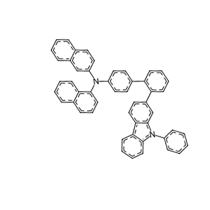 c1ccc(-n2c3ccccc3c3ccc(-c4ccccc4-c4ccc(N(c5ccc6ccccc6c5)c5cccc6ccccc56)cc4)cc32)cc1